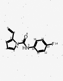 C=Cc1cccn1C(=O)Nc1ccc(F)cc1